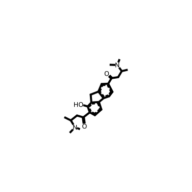 CC(CC(=O)c1ccc2c(c1)Cc1c-2ccc(C(=O)CC(C)N(C)C)c1O)N(C)C